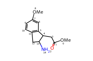 COC(=O)CC1c2cc(OC)ccc2CC1N